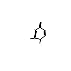 C=C1C=CC(O)C(C(C)(C)C)=C1